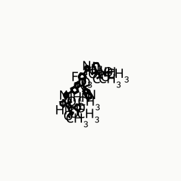 COC(=O)NC(C(=O)N1CCC[C@H]1c1ncc(-c2ccc3c(c2)cc2n3C(c3cc4nccnc4s3)Oc3cc(-c4cnc([C@@H]5CCCN5C(=O)[C@@H](NC(=O)OC)C(C)C)[nH]4)cc(F)c3-2)[nH]1)C1C[C@@H](C)O[C@@H](C)C1